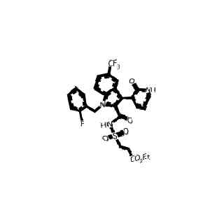 CCOC(=O)CCS(=O)(=O)NC(=O)c1c(-c2ccc[nH]c2=O)c2cc(C(F)(F)F)ccc2n1Cc1ccccc1F